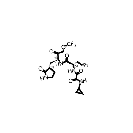 CC(C)C[C@H](NC(=O)C(=O)NC1CC1)C(=O)N[C@@H](C[C@@H]1CCNC1=O)C(=O)COC(F)(F)F